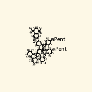 CCCCCc1ccc(Nc2cc3c(cc2-c2cc(N4c5ccccc5C5(C)CCCCC45C)c4c5ccccc5n5c4c2Bc2cc(CCCCC)ccc2-5)sc2cc4c(cc23)C(C)(C)CCC4(C)C)cc1